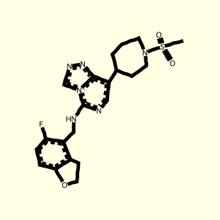 CS(=O)(=O)N1CCCC(c2cnc(NCc3c(F)ccc4c3CCO4)n3cnnc23)CC1